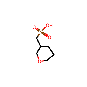 O=S(=O)(O)CC1CCCOC1